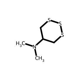 CN(C)C1CSSSC1